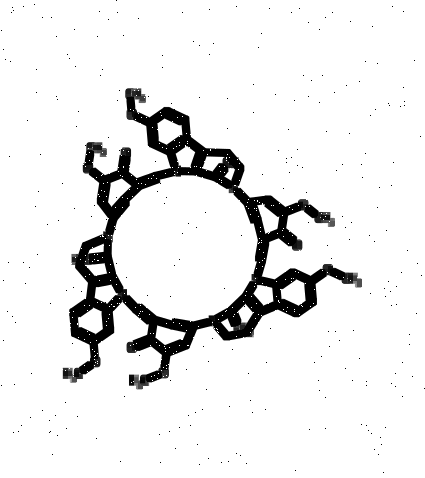 C=c1c2c3c4ccc(OC)cc4n2cc2cc(n4c(=C)c5c(c6ccc(OC)cc6n5cc5cc(n6c(=C)c7c(c8ccc(OC)cc8n7cc7cc(n1CC3)C=C(OC)C7=O)CC6)C=C(OC)C5=O)CC4)C=C(OC)C2=O